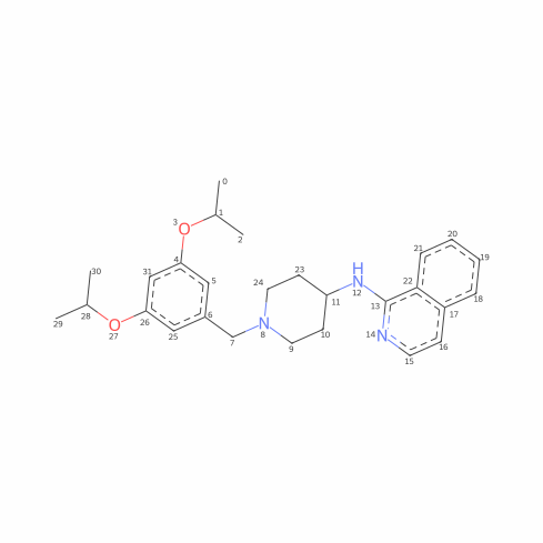 CC(C)Oc1cc(CN2CCC(Nc3nccc4ccccc34)CC2)cc(OC(C)C)c1